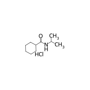 CC(C)NC(=O)C1CCCCC1.Cl